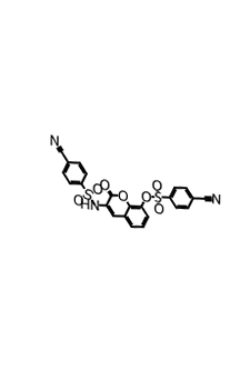 N#Cc1ccc(S(=O)(=O)Nc2cc3cccc(OS(=O)(=O)c4ccc(C#N)cc4)c3oc2=O)cc1